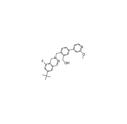 COc1cc(-c2ccc(CN3Cc4c(F)cc(C(C)(C)C)cc4C=N3)c(CO)c2)ccn1